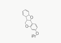 CC(C)Oc1ccc2c(c1)OCC1C2OC2C=CC=CC21